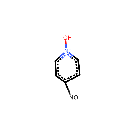 O=Nc1cc[n+](O)cc1